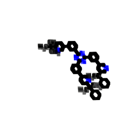 CB(c1cncc(-c2cccc(-c3nc(-c4cccc(-c5ccc(C(C)(C)C)nc5)c4)nc(-c4cccc(-c5ccc(C(C)(C)C6CCCCC6)nc5)c4)n3)c2)c1)C1CCCCC1